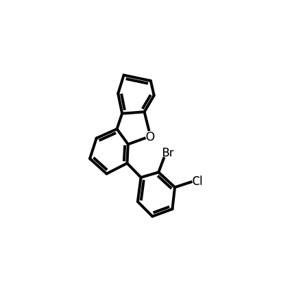 Clc1cccc(-c2cccc3c2oc2ccccc23)c1Br